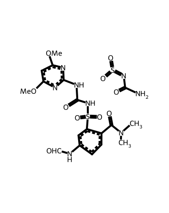 COc1cc(OC)nc(NC(=O)NS(=O)(=O)c2cc(NC=O)ccc2C(=O)N(C)C)n1.NC(=O)N=S(=O)=O